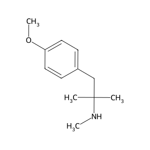 CNC(C)(C)Cc1ccc(OC)cc1